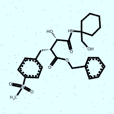 CS(=O)(=O)c1ccc(C[C@@H](C(=O)OCc2ccccc2)[C@H](O)C(=O)NC2(CO)CCCCC2)cc1